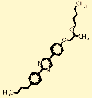 CCCCCOC(C)COc1ccc(-c2cnc(-c3ccc(CCCC)cc3)nc2)cc1